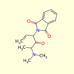 C=CC(C(=O)C(C)N(C)C)N1C(=O)c2ccccc2C1=O